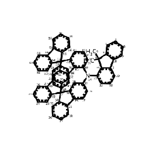 CC1(C)c2ccccc2-c2cccc(N(c3ccc4c(c3)C3(c5ccccc5-c5ccccc53)c3ccccc3-4)c3cccc4c3-c3ccccc3C43c4ccccc4-c4ccccc43)c21